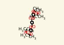 C=C(C)C(=O)OC(C)=C(C)Oc1ccc(OC(=O)c2ccc(C(=O)Oc3ccc(OC(C)=C(C)OC(=O)C(=C)C)cc3)cc2)cc1